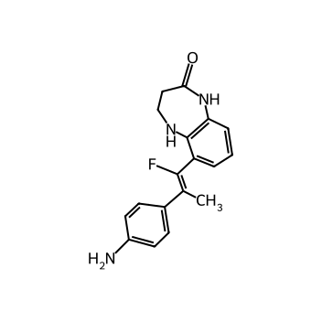 C/C(=C(/F)c1cccc2c1NCCC(=O)N2)c1ccc(N)cc1